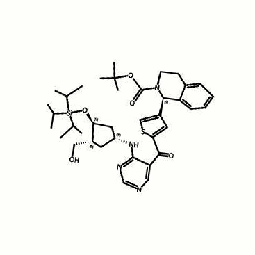 CC(C)[Si](O[C@H]1C[C@H](Nc2ncncc2C(=O)c2cc([C@@H]3c4ccccc4CCN3C(=O)OC(C)(C)C)cs2)C[C@@H]1CO)(C(C)C)C(C)C